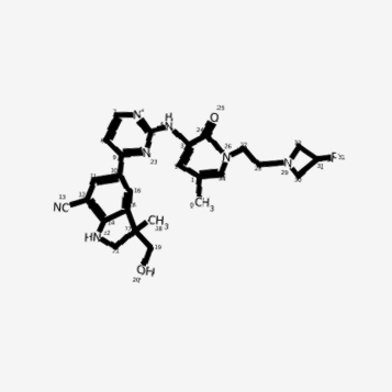 Cc1cc(Nc2nccc(-c3cc(C#N)c4c(c3)C(C)(CO)CN4)n2)c(=O)n(CCN2CC(F)C2)c1